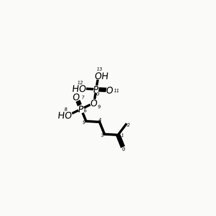 C=C(C)CCCP(=O)(O)OP(=O)(O)O